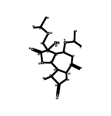 C=C1CC(OC(C)C)C2C(OC(=O)C2(O)COC(C)C)C2C(C)C(=O)CC12